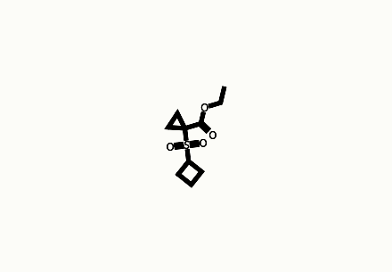 CCOC(=O)C1(S(=O)(=O)C2CCC2)CC1